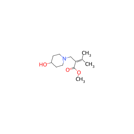 COC(=O)C(CN1CCC(O)CC1)=C(C)C